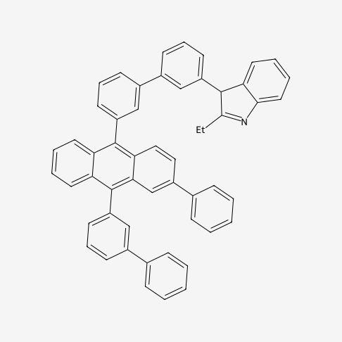 CCC1=Nc2ccccc2C1c1cccc(-c2cccc(-c3c4ccccc4c(-c4cccc(-c5ccccc5)c4)c4cc(-c5ccccc5)ccc34)c2)c1